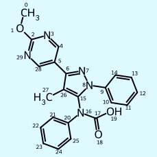 COc1ncc(-c2nn(-c3ccccc3)c(N(C(=O)O)c3ccccc3)c2C)cn1